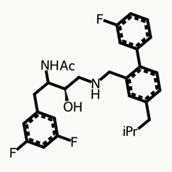 CC(=O)NC(Cc1cc(F)cc(F)c1)[C@H](O)CNCc1cc(CC(C)C)ccc1-c1cccc(F)c1